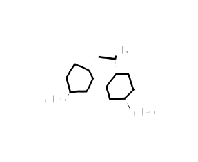 CCCCCC[C@H]1CC[C@H](CC(C#N)[C@H]2CC[C@H](CCCCCC)CC2)CC1